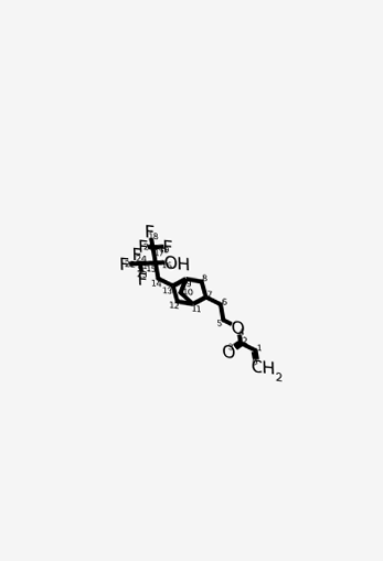 C=CC(=O)OCCC1CC2CC1CC2CC(O)(C(F)(F)F)C(F)(F)F